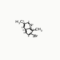 Cc1cnc2c(C)c(Br)ccc2c1